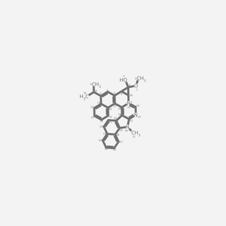 COC1(O)C2c3cc(C(C)C)c4ccccc4c3-c3c4c5ccc6ccccc6c5n(C)c4nc[n+]3C21